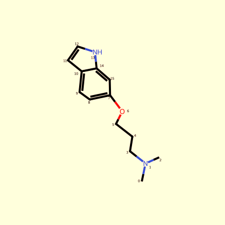 CN(C)CCCOc1ccc2cc[nH]c2c1